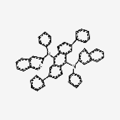 c1ccc(-c2ccc3c(N(c4ccccc4)c4ccc5ccccc5c4)c4cc(-c5ccccc5)ccc4c(N(c4ccccc4)c4ccc5ccccc5c4)c3c2)cc1